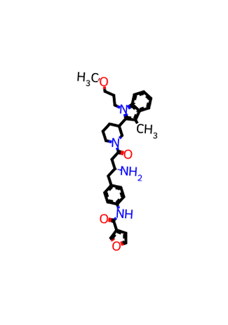 COCCCn1c(C2CCCN(C(=O)C[C@H](N)Cc3ccc(NC(=O)c4ccoc4)cc3)C2)c(C)c2ccccc21